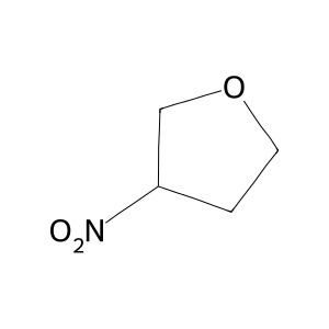 O=[N+]([O-])C1CCOC1